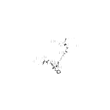 N[C@@H](CNC(=O)C(Cc1ccccc1)NC(=O)CCOCCCOCCNC(=O)CC[C@H](NC(=O)N[C@@H](CCC(=O)O)C(=O)O)C(=O)O)C(=O)N[C@@H](CC(=O)O)C(=O)N[C@@H](CS)C(=O)O